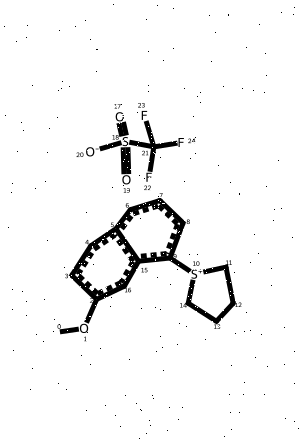 COc1ccc2cccc([S+]3CCCC3)c2c1.O=S(=O)([O-])C(F)(F)F